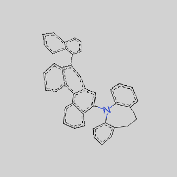 c1ccc2c(c1)CCc1ccccc1N2c1cc2cc(-c3cccc4ccccc34)c3ccccc3c2c2ccccc12